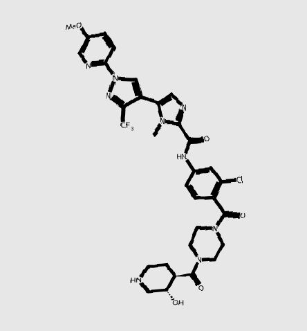 COc1ccc(-n2cc(-c3cnc(C(=O)Nc4ccc(C(=O)N5CCN(C(=O)[C@@H]6CCNC[C@H]6O)CC5)c(Cl)c4)n3C)c(C(F)(F)F)n2)nc1